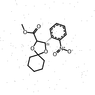 COC(=O)C1OC2(CCCCC2)O[C@H]1c1ccccc1[N+](=O)[O-]